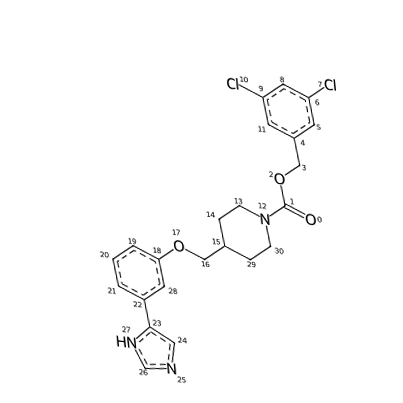 O=C(OCc1cc(Cl)cc(Cl)c1)N1CCC(COc2cccc(-c3cnc[nH]3)c2)CC1